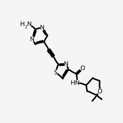 CC1(C)CC(NC(=O)c2csc(C#Cc3cnc(N)nc3)n2)CCO1